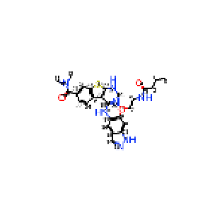 CCCC(=O)NCCOc1cc2[nH]ncc2cc1NC1=NCNC2Sc3cc(C(=O)N(C)C)ccc3C12